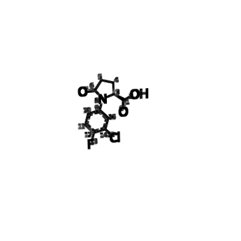 O=C(O)[C@@H]1CCC(=O)N1c1ccc(F)c(Cl)c1